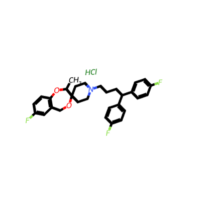 CC1Oc2ccc(F)cc2COC12CCN(CCCC(c1ccc(F)cc1)c1ccc(F)cc1)CC2.Cl